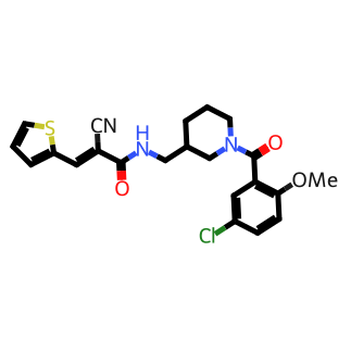 COc1ccc(Cl)cc1C(=O)N1CCCC(CNC(=O)/C(C#N)=C/c2cccs2)C1